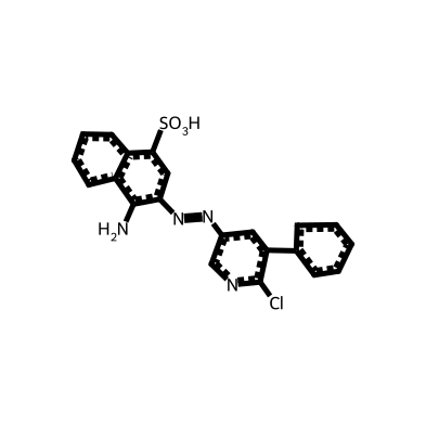 Nc1c(N=Nc2cnc(Cl)c(-c3ccccc3)c2)cc(S(=O)(=O)O)c2ccccc12